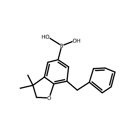 CC1(C)COc2c(Cc3ccccc3)cc(B(O)O)cc21